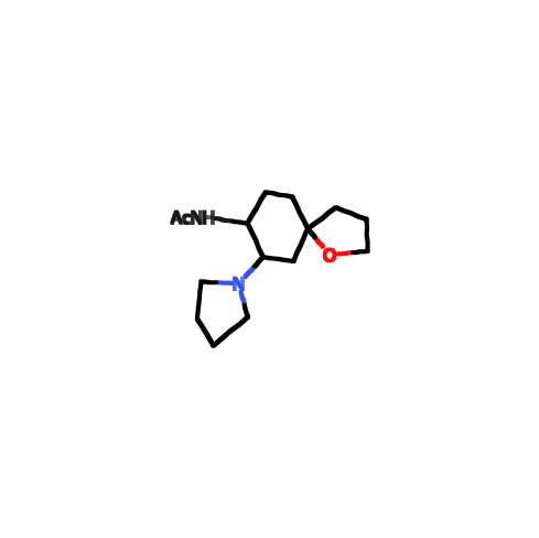 CC(=O)NC1CCC2(CCCO2)CC1N1CCCC1